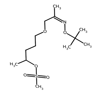 CC(COCCCC(C)OS(C)(=O)=O)=NOC(C)(C)C